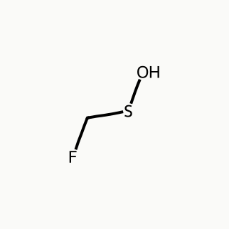 OSCF